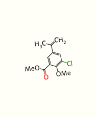 C=C(C)c1cc(Cl)c(OC)c(C(=O)OC)c1